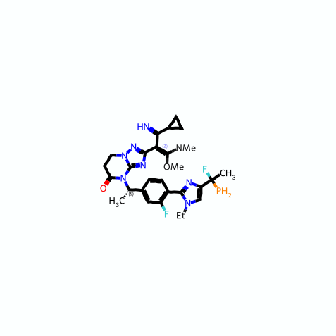 CCn1cc(C(C)(F)P)nc1-c1ccc([C@H](C)N2C(=O)CCn3nc(/C(C(=N)C4CC4)=C(/NC)OC)nc32)cc1F